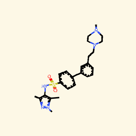 Cc1nn(C)c(C)c1NS(=O)(=O)c1ccc(-c2cccc(CCN3CCN(C)CC3)c2)cc1